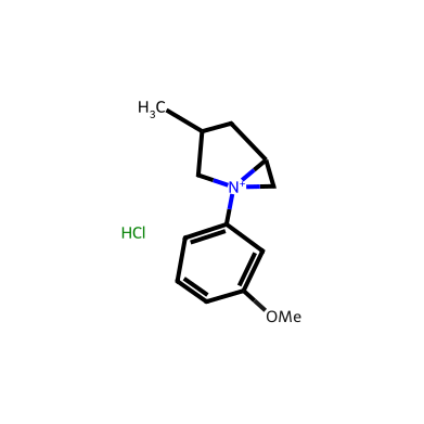 COc1cccc([N+]23CC(C)CC2C3)c1.Cl